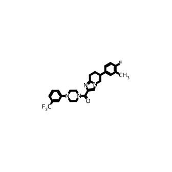 Cc1cc(C2CCc3nc(C(=O)N4CCN(c5cccc(C(F)(F)F)c5)CC4)cn3C2)ccc1F